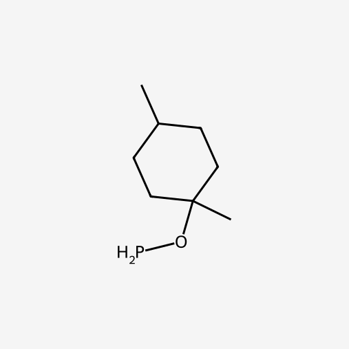 CC1CCC(C)(OP)CC1